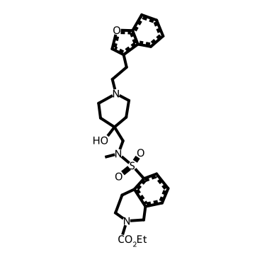 CCOC(=O)N1CCc2c(cccc2S(=O)(=O)N(C)CC2(O)CCN(CCc3coc4ccccc34)CC2)C1